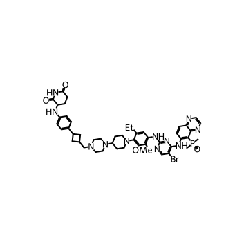 CCc1cc(Nc2ncc(Br)c(Nc3ccc4nccnc4c3P(C)(C)=O)n2)c(OC)cc1N1CCC(N2CCN(CC3CC(c4ccc(NC5CCC(=O)NC5=O)cc4)C3)CC2)CC1